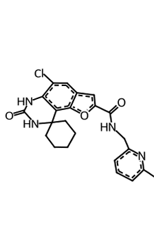 O=C1Nc2c(Cl)cc3cc(C(=O)NCc4cccc(F)n4)oc3c2C2(CCCCC2)N1